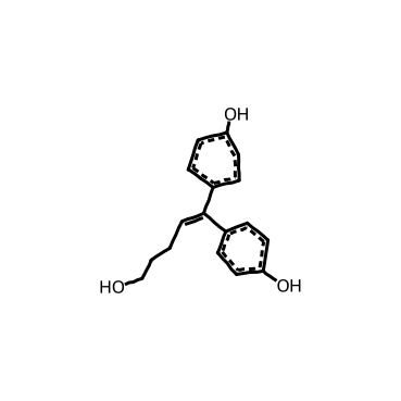 OCCCC=C(c1ccc(O)cc1)c1ccc(O)cc1